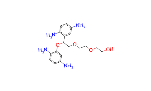 Nc1ccc(N)c(OC(COCCOCCO)c2cc(N)ccc2N)c1